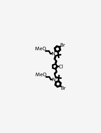 COCCCN1/C(=C/C=C2\CCC(/C=C/C3=[N+](CCCOC)c4ccc(Br)cc4C3(C)C)=C2Cl)C(C)(C)c2cc(Br)ccc21